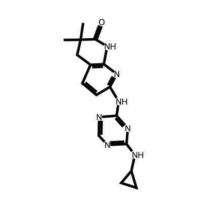 CC1(C)Cc2ccc(Nc3ncnc(NC4CC4)n3)nc2NC1=O